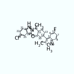 C=C/C(=C1/C=C(F)C=C/C1=N/C)C1CCC(C(C)n2[nH]c3ccc(Cl)cc3c2=O)CC1